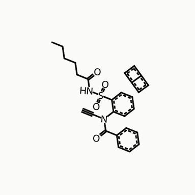 C#CN(C(=O)c1ccccc1)c1ccccc1S(=O)(=O)NC(=O)CCCCC.c1cc2ccc1-2